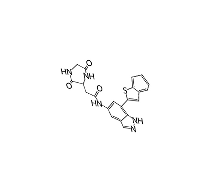 O=C(CC1NC(=O)CNC1=O)Nc1cc(-c2cc3ccccc3s2)c2[nH]ncc2c1